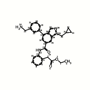 CCOC(=O)Cc1ccccc1NC(=O)c1cc(-c2cccc(CN)c2)c2cnn(CC3CC3)c2c1